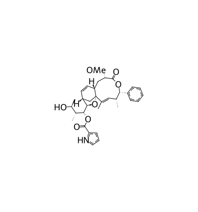 CO[C@H]1C[C@H]2C=C[C@@H]3C[C@]2(O[C@H]3[C@H](OC(=O)c2ccc[nH]2)[C@H](C)[C@H](C)O)/C(C)=C/[C@@H](C)[C@@H](c2ccccc2)OC1=O